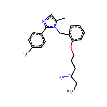 Cc1cnc(-c2ccc(C(F)(F)F)cc2)n1Cc1ccccc1OCCC[C@@H](N)CC(=O)O